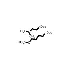 CCCCCCCCCCCCCCOS(=O)(=O)O.CCCCCCCCCCCCN(C)C